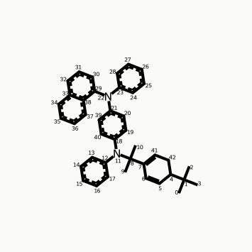 CC(C)(C)C1C=CC(C(C)(C)N(c2ccccc2)c2ccc(N(c3ccccc3)c3cccc4ccccc34)cc2)=CC1